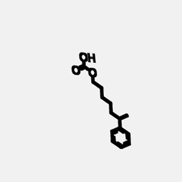 CC(CCCCCOC(=O)O)c1ccccc1